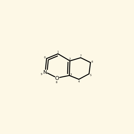 C1=CC2=C(CCCC2)ON=1